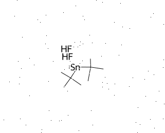 C[C](C)(C)[Sn][C](C)(C)C.F.F